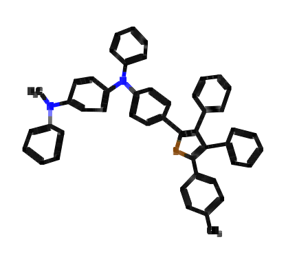 Cc1ccc(-c2sc(-c3ccc(N(c4ccccc4)c4ccc(N(C)c5ccccc5)cc4)cc3)c(-c3ccccc3)c2-c2ccccc2)cc1